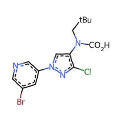 CC(C)(C)CN(C(=O)O)c1cn(-c2cncc(Br)c2)nc1Cl